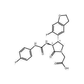 O=C(O)CN1C[C@@H](c2cc3c(cc2F)OCC3)[C@H](NC(=O)Nc2ccc(F)cc2)C1=O